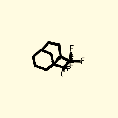 FC(F)(F)C1CCC2CCCC1(C(F)(F)F)C2